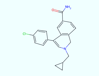 NC(=O)c1ccc2c(c1)C(c1ccc(Cl)cc1)=CN(CC1CC1)C2